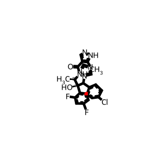 Cc1[nH]ncc1C(=O)N[C@H](C)[C@@](O)(c1ccc(F)cc1F)C(c1ccc(Cl)cc1)n1cncn1